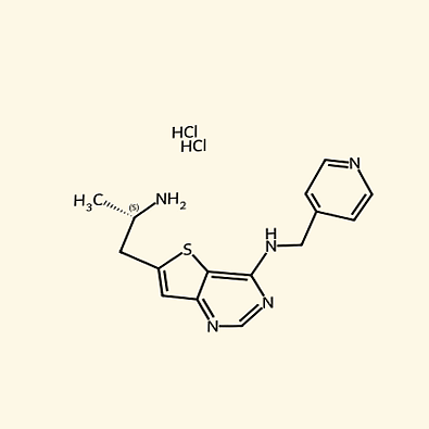 C[C@H](N)Cc1cc2ncnc(NCc3ccncc3)c2s1.Cl.Cl